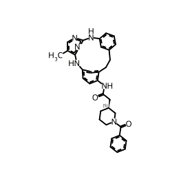 Cc1cnc2nc1Nc1ccc(NC(=O)C[C@@H]3CCCN(C(=O)c4ccccc4)C3)c(c1)CCc1cccc(c1)N2